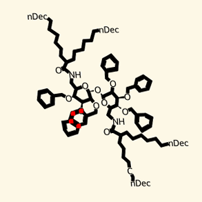 CCCCCCCCCCCCCCCCC(CCCCCCCCCCCCCCCC)C(=O)NCC1O[C@H](O[C@H]2OC(CNC(=O)C(CCCCCCCCCCCCCCCC)CCCCCCCCCCCCCCCC)[C@@H](OCc3ccccc3)[C@H](OCc3ccccc3)C2OCc2ccccc2)C(OCc2ccccc2)[C@@H](OCc2ccccc2)[C@@H]1OCc1ccccc1